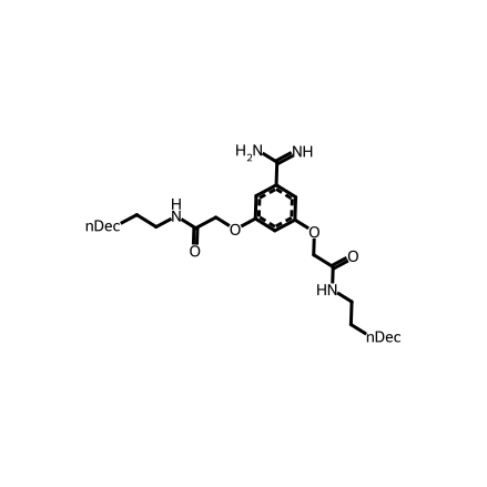 CCCCCCCCCCCCNC(=O)COc1cc(OCC(=O)NCCCCCCCCCCCC)cc(C(=N)N)c1